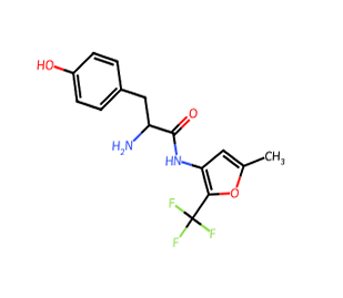 Cc1cc(NC(=O)C(N)Cc2ccc(O)cc2)c(C(F)(F)F)o1